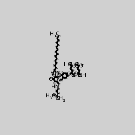 CCCCCCCCCCCCCCCCCCOc1cn(Cc2ccccc2OC)c(CNCCCN(C)C)cc1=O.O=C(O)C=CC(=O)O.O=C(O)C=CC(=O)O